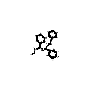 CC\N=C(/N=C(\N=C\c1ccccc1)c1ccccc1)c1ccccc1